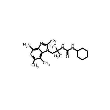 CCCc1nc2c(N)nc(C)c(C)c2n1CC(C)(C)NC(=O)NC1CCCCC1